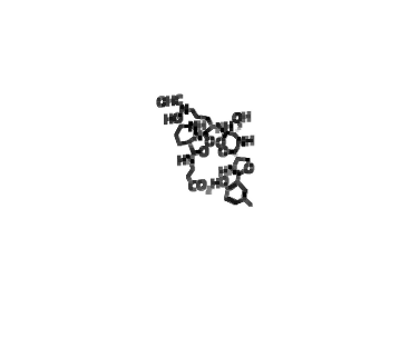 Cc1ccc(O)c(C2=N[C@H](C(=O)N[C@@H](CO)C(=O)N[C@H](CCCN(O)C=O)C(=O)N3NCCC[C@@H]3C(=O)NCCC(=O)O)CO2)c1